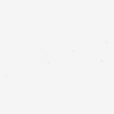 C[C@@H]1CCN(S(=O)(=O)Cc2ccncc2)C[C@@H]1N(C)c1ccnc2[nH]ccc12